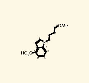 COCCCCn1ccc2c(C(=O)O)cccc21